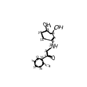 O=C(CNC1=CC(O)C(O)CC1)c1ccccc1